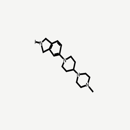 CN1CCN(C2CCN(c3ccc4c(c3)CN(I)C4)CC2)CC1